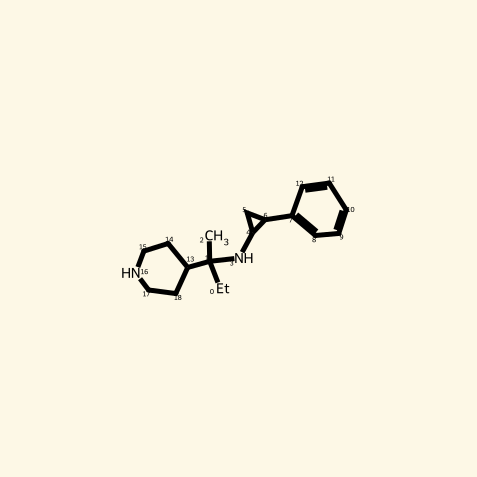 CCC(C)(NC1CC1c1ccccc1)C1CCNCC1